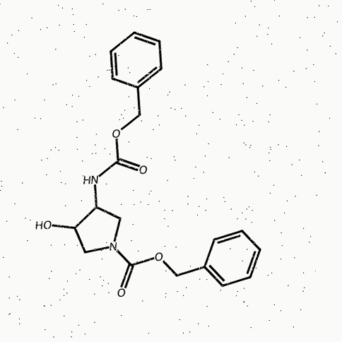 O=C(NC1CN(C(=O)OCc2ccccc2)CC1O)OCc1ccccc1